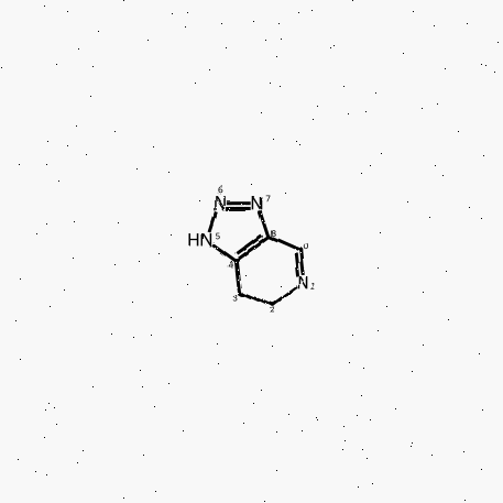 C1=NCCc2[nH]nnc21